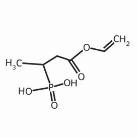 C=COC(=O)CC(C)P(=O)(O)O